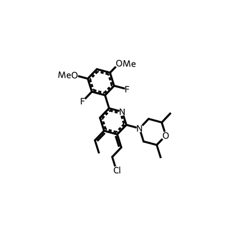 C/C=c1/cc(-c2c(F)c(OC)cc(OC)c2F)nc(N2CC(C)OC(C)C2)/c1=C/CCl